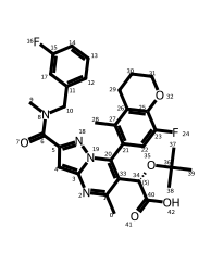 Cc1nc2cc(C(=O)N(C)Cc3cccc(F)c3)nn2c(-c2cc(F)c3c(c2C)CCCO3)c1[C@H](OC(C)(C)C)C(=O)O